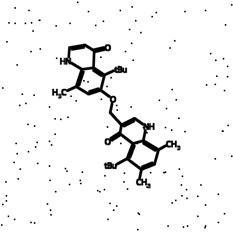 Cc1cc(C)c2[nH]cc(COc3cc(C)c4[nH]ccc(=O)c4c3C(C)(C)C)c(=O)c2c1C(C)(C)C